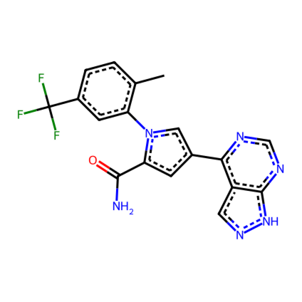 Cc1ccc(C(F)(F)F)cc1-n1cc(-c2ncnc3[nH]ncc23)cc1C(N)=O